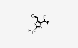 Cc1nc(C(F)F)c(C=O)s1